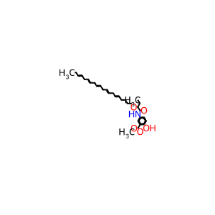 CCC=CCC=CCC=CCC=CCC=CCCCCOC(CC)C(=O)Nc1ccc(O)c(C(=O)OC)c1